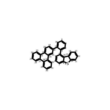 c1ccc(-c2cccc3sc4ccccc4c23)c(-c2ccc3c4ccccc4c4ccccc4c3c2)c1